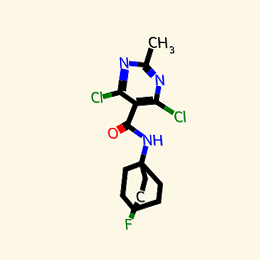 Cc1nc(Cl)c(C(=O)NC23CCC(F)(CC2)CC3)c(Cl)n1